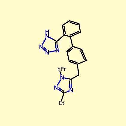 CCCn1nc(CC)nc1Cc1ccc(-c2ccccc2-c2nnn[nH]2)cc1